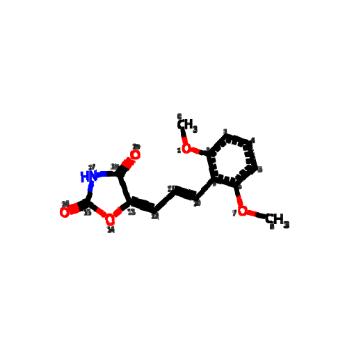 COc1cccc(OC)c1C=CC=C1OC(=O)NC1=O